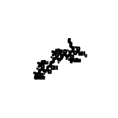 C=CC=C[C@H](C)[C@H](OC(N)=O)[C@@H](C)[C@H](O[Si](C)(C)C(C)(C)C)[C@@H](C)C(=O)N(C)C[C@H](C)[C@@H](O[Si](C)(C)C(C)(C)C)[C@@H](C)C=C[C@@H](O)CC(=O)[C@H](C)[C@H](O[Si](C)(C)C(C)(C)C)[C@@H](C)C(=O)N(C)OC